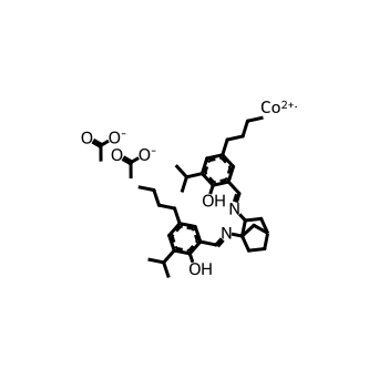 CC(=O)[O-].CC(=O)[O-].CCCCc1cc(C=NC2CC3CCC2(N=Cc2cc(CCCC)cc(C(C)C)c2O)C3)c(O)c(C(C)C)c1.[Co+2]